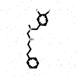 CN([CH]NCCCc1ccccc1)Cc1ccc(F)c(F)c1